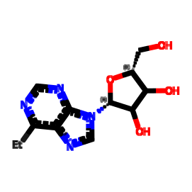 CCc1ncnc2c1ncn2[C@@H]1O[C@H](CO)C(O)C1O